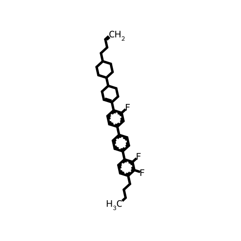 C=CCCC1CCC(C2CC=C(c3ccc(-c4ccc(-c5ccc(CCCC)c(F)c5F)cc4)cc3F)CC2)CC1